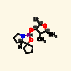 B[C@@H]1O[C@H](CC)[C@H](O[P@@]2OC3(CCCC3)[C@@H]3CCCN32)C1C